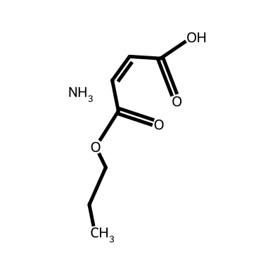 CCCOC(=O)/C=C\C(=O)O.N